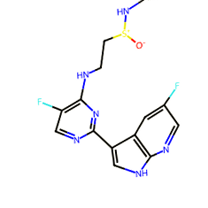 CC(C)N[S+]([O-])CCNc1nc(-c2c[nH]c3ncc(F)cc23)ncc1F